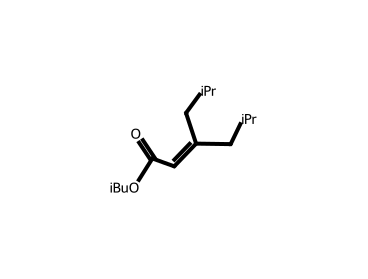 CC(C)COC(=O)C=C(CC(C)C)CC(C)C